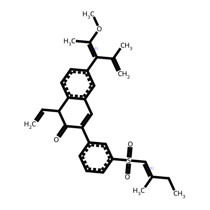 C=CC1C(=O)C(c2cccc(S(=O)(=O)/C=C(\C)CC)c2)=Cc2cc(/C(C(=C)C)=C(\C)OC)ccc21